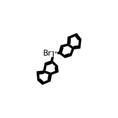 [Br-].c1ccc2cc([I+]c3ccc4ccccc4c3)ccc2c1